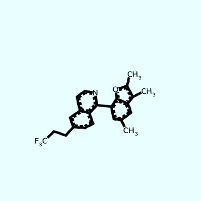 Cc1cc(-c2nccc3cc(CCC(F)(F)F)ccc23)c2oc(C)c(C)c2c1